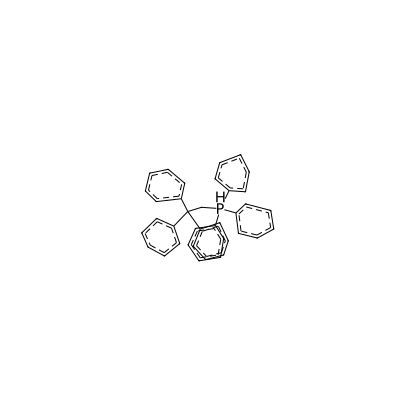 c1ccc(C(C[PH](c2ccccc2)(c2ccccc2)c2ccccc2)(c2ccccc2)c2ccccc2)cc1